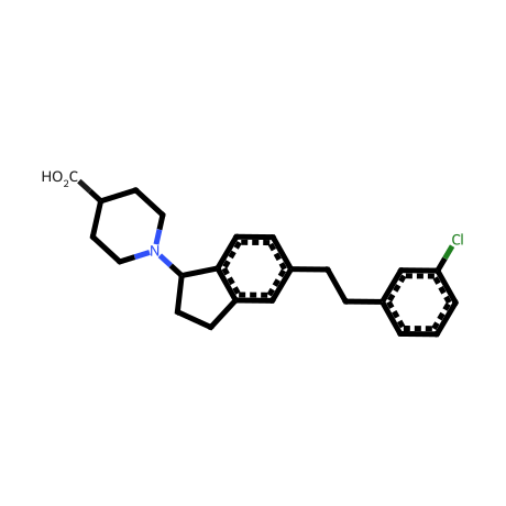 O=C(O)C1CCN(C2CCc3cc(CCc4cccc(Cl)c4)ccc32)CC1